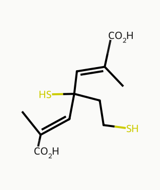 CC(=CC(S)(C=C(C)C(=O)O)CCS)C(=O)O